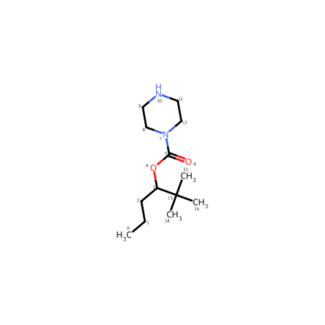 CCCC(OC(=O)N1CCNCC1)C(C)(C)C